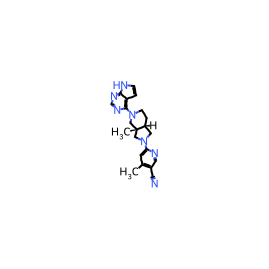 Cc1cc(N2C[C@H]3CCN(c4ncnc5[nH]ccc45)C[C@@]3(C)C2)ncc1C#N